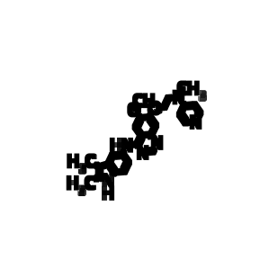 COc1cc2c(Nc3ccc4[nH]c(C)c(C)c4c3)ncnc2cc1OCCN(C)c1ccncc1